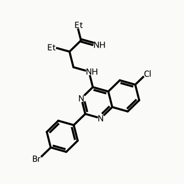 CCC(=N)C(CC)CNc1nc(-c2ccc(Br)cc2)nc2ccc(Cl)cc12